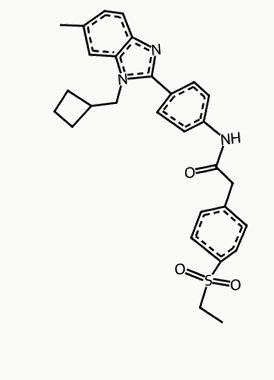 CCS(=O)(=O)c1ccc(CC(=O)Nc2ccc(-c3nc4ccc(C)cc4n3CC3CCC3)cc2)cc1